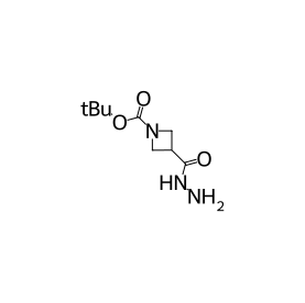 CC(C)(C)OC(=O)N1CC(C(=O)NN)C1